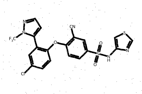 N#Cc1cc(S(=O)(=O)Nc2cscn2)ccc1Oc1ccc(Cl)cc1-c1ccnn1C(F)(F)F